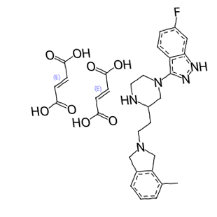 Cc1cccc2c1CN(CCC1CN(c3n[nH]c4cc(F)ccc34)CCN1)C2.O=C(O)/C=C/C(=O)O.O=C(O)/C=C/C(=O)O